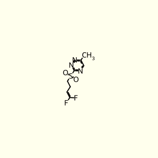 Cc1cnc(S(=O)(=O)CCC=C(F)F)nn1